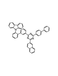 c1ccc(-c2ccc(-c3nc(-c4cccc(-c5ccccc5-n5c6ccccc6c6ccccc65)c4)nc(-c4ccc5ccccc5c4)n3)cc2)cc1